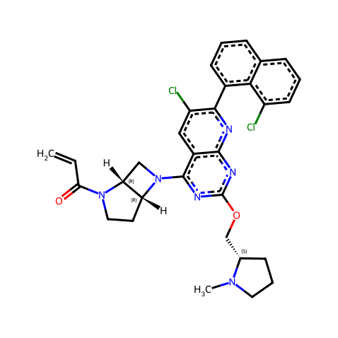 C=CC(=O)N1CC[C@@H]2[C@H]1CN2c1nc(OC[C@@H]2CCCN2C)nc2nc(-c3cccc4cccc(Cl)c34)c(Cl)cc12